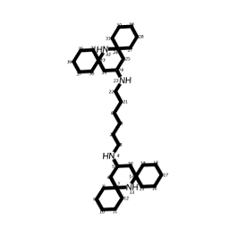 C(CCCNC1CC2(CCCCC2)NC2(CCCCC2)C1)CCNC1CC2(CCCCC2)NC2(CCCCC2)C1